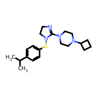 CC(C)c1ccc(SN2CCN=C2N2CCN(C3CCC3)CC2)cc1